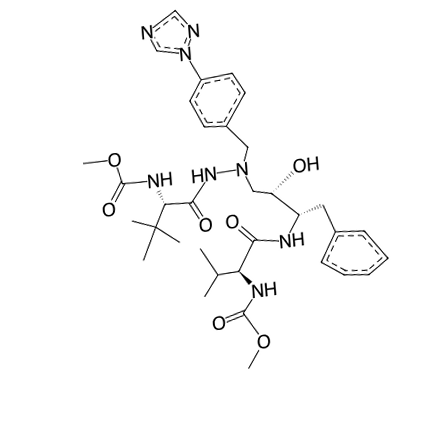 COC(=O)N[C@H](C(=O)N[C@@H](Cc1ccccc1)[C@@H](O)CN(Cc1ccc(-n2cncn2)cc1)NC(=O)[C@@H](NC(=O)OC)C(C)(C)C)C(C)C